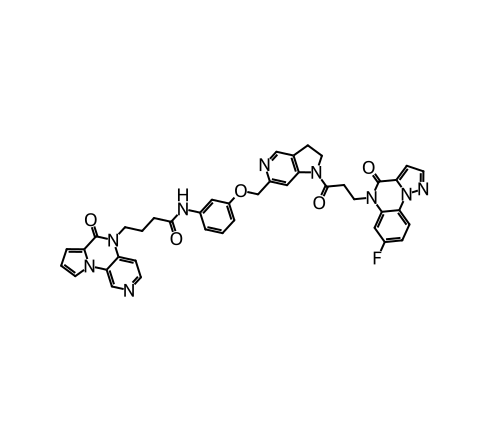 O=C(CCCn1c(=O)c2cccn2c2cnccc21)Nc1cccc(OCc2cc3c(cn2)CCN3C(=O)CCn2c(=O)c3ccnn3c3ccc(F)cc32)c1